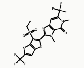 CCS(=O)(=O)c1c(-c2nc3cc(C(F)(F)F)n(C)c(=O)c3n2C)sc2cc(C(F)(F)F)sc12